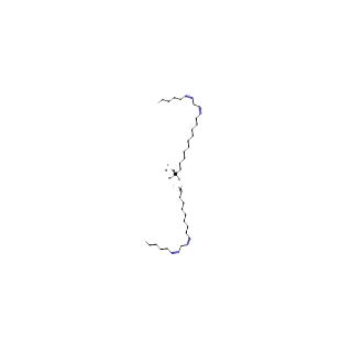 CCCCC/C=C\C/C=C\CCCCCCCCCCC(CO)(COCCCCCCCC/C=C\C/C=C\CCCCC)N(C)C